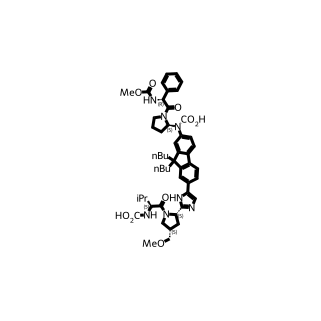 CCCCC1(CCCC)c2cc(-c3cnc([C@@H]4C[C@H](COC)CN4C(=O)[C@@H](NC(=O)O)C(C)C)[nH]3)ccc2-c2ccc(N(C(=O)O)[C@H]3CCCN3C(=O)[C@H](NC(=O)OC)c3ccccc3)cc21